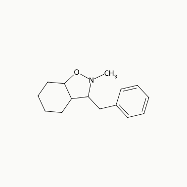 CN1OC2CCCCC2C1Cc1ccccc1